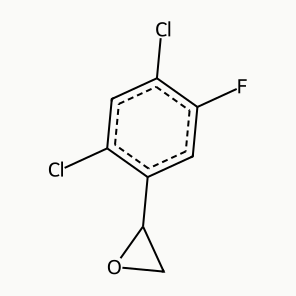 Fc1cc(C2CO2)c(Cl)cc1Cl